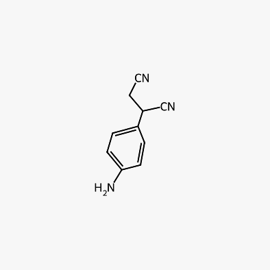 N#CCC(C#N)c1ccc(N)cc1